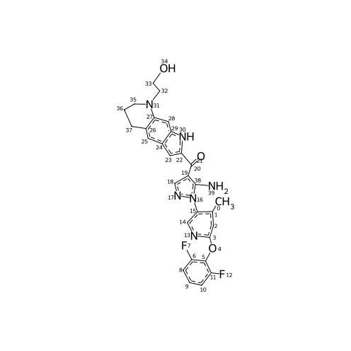 Cc1cc(Oc2c(F)cccc2F)ncc1-n1ncc(C(=O)c2cc3cc4c(cc3[nH]2)N(CCO)CCC4)c1N